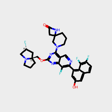 O=C1CC2(CCCN(c3nc(OC[C@@]45CCCN4C[C@H](F)C5)nc4c(F)c(-c5cc(O)cc6ccc(F)c(F)c56)ncc34)C2)N1